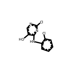 Oc1cnc(Cl)nc1Nc1ccccc1Cl